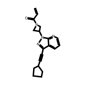 C=CC(=O)N1CC(n2nc(C#CC3CCCC3)c3cccnc32)C1